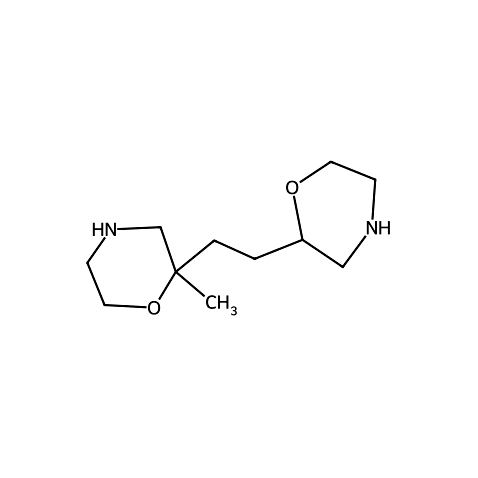 CC1(CCC2CNCCO2)CNCCO1